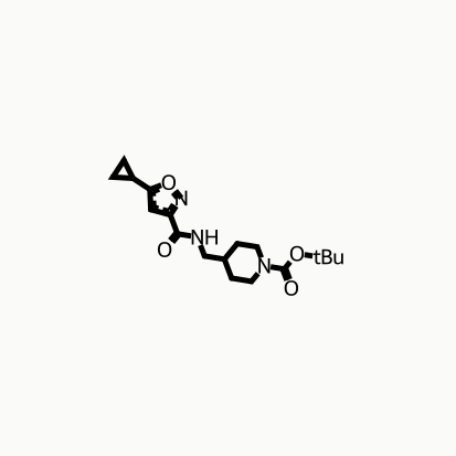 CC(C)(C)OC(=O)N1CCC(CNC(=O)c2cc(C3CC3)on2)CC1